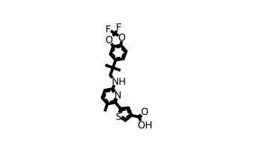 Cc1ccc(NCC(C)(C)c2ccc3c(c2)OC(F)(F)O3)nc1-c1cc(C(=O)O)cs1